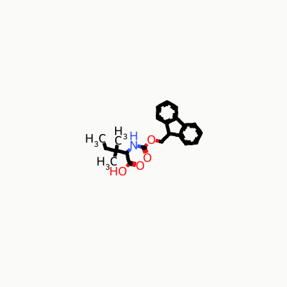 CCC(C)(C)C(NC(=O)OCC1c2ccccc2-c2ccccc21)C(=O)O